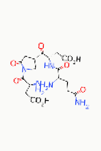 NC(=O)CC[C@H](N)C(=O)N[C@@H](CC(=O)O)C(=O)[C@H]1CC(=O)N(C(=O)[C@@H](N)CC(=O)O)C1